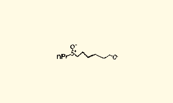 CCC[S+]([O-])CCCCCC[O]